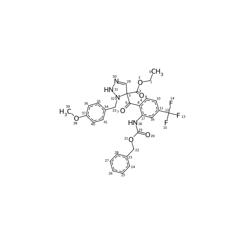 CCOC(=O)C1(C(=O)c2ccc(C(F)(F)F)cc2NC(=O)OCc2ccccc2)C=NNN1Cc1ccc(OC)cc1